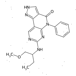 CCC(COC)Nc1ncc2c3n[nH]cc3c(=O)n(-c3ccccc3)c2n1